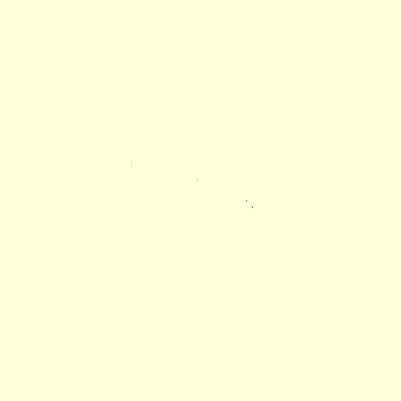 CCCC(C)OC(=S)N(C)C